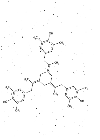 CC(Cc1cc(C)c(O)c(C)c1)=C1CC(=C(C)Cc2cc(C)c(O)c(C)c2)CC(=C(C)Cc2cc(C)c(O)c(C)c2)C1